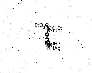 CCOC(=O)CC[C@H](NCc1ccc(/C(C)=C/c2cnc3nc(NC(C)=O)nc(O)c3c2)cc1)C(=O)OCC